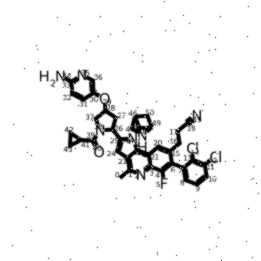 Cc1nc2c(F)c(-c3cccc(Cl)c3Cl)c(CCC#N)cc2c2c1cc(C1CC(Oc3ccc(N)nc3)CN1C(=O)C1CC1)n2C1C2CNC1C2